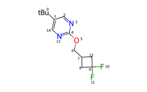 CC(C)(C)c1cnc(OCC2CC(F)(F)C2)nc1